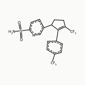 NS(=O)(=O)c1ccc(C2CCC(C(F)(F)F)=C2c2ccc(C(F)(F)F)cc2)cn1